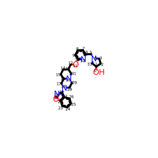 OC1CCN(Cc2cccc(OCC3CCC4CN(c5noc6ccccc56)CCN4C3)n2)C1